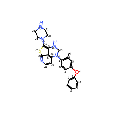 Cc1cc(Oc2ccccc2)ccc1N1CNc2c(N3CCNCC3)sc3nccc1c23